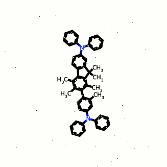 Cc1cc(N(c2ccccc2)c2ccccc2)ccc1-c1c(C)c(C)c2c(c1C)C(C)(C)c1cc(N(c3ccccc3)c3ccccc3)ccc1-2